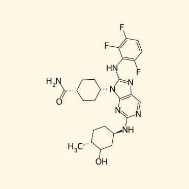 C[C@@H]1CC[C@@H](Nc2ncc3nc(Nc4c(F)ccc(F)c4F)n([C@H]4CC[C@@H](C(N)=O)CC4)c3n2)CC1O